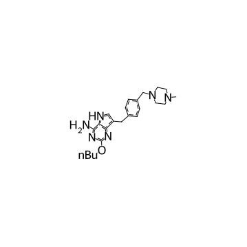 CCCCOc1nc(N)c2[nH]cc(Cc3ccc(CN4CCN(C)CC4)cc3)c2n1